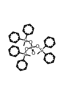 C[Si](OP(=O)(O[Si](C)(c1ccccc1)c1ccccc1)O[Si](C)(c1ccccc1)c1ccccc1)(c1ccccc1)c1ccccc1